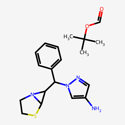 CC(C)(C)OC=O.Nc1cnn(C(c2ccccc2)C2C3SCCN32)c1